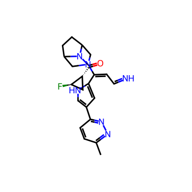 Cc1ccc(-c2c[nH]c(/C(=C\C=N)N3CC4CCC(C3)N4C(=O)[C@@H]3C[C@H]3F)c2)nn1